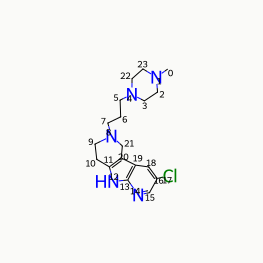 CN1CCN(CCCN2CCc3[nH]c4ncc(Cl)cc4c3C2)CC1